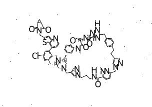 Cc1cc(Cl)cc(-c2ccnc3cc(CN4C(=O)C5CC5C4=O)sc23)c1CN1[C@@H](C)CN(Cc2cnn(CCCNC(=O)c3ccc(Cn4cc(CCc5ccc(Cc6nc(C(=O)N[C@@H]7COc8ccccc8N(C)C7=O)n[nH]6)cc5)cn4)nn3)c2)C[C@@H]1C